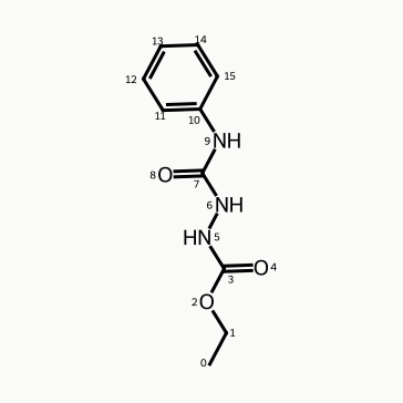 CCOC(=O)NNC(=O)Nc1ccccc1